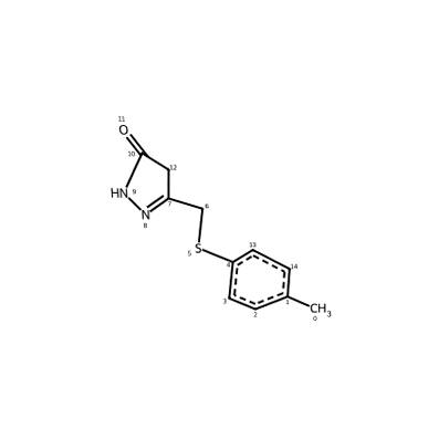 Cc1ccc(SCC2=NNC(=O)C2)cc1